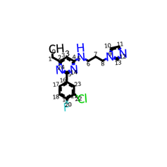 CCc1cc(NCCCn2ccnc2)nc(-c2ccc(F)c(Cl)c2)n1